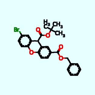 CC(C)(C)OC(=O)C1c2cc(Br)ccc2Oc2ccc(C(=O)OCc3ccccc3)cc21